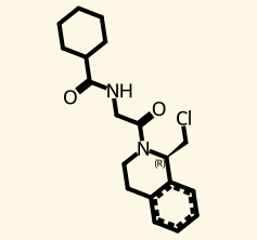 O=C(NCC(=O)N1CCc2ccccc2[C@@H]1CCl)C1CCCCC1